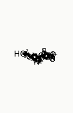 CC(C)(O)COc1ccc2c(Oc3ccc([N+](=O)[O-])cc3F)ccnc2c1